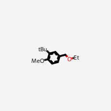 CCOCc1ccc(OC)c(C(C)(C)C)c1